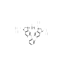 CC1(C)CC(C)(C)c2cc3c(cc21)Oc1cccc2c1B3c1cc3c(cc1O2)C(C)(C)CC3(C)C